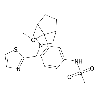 COC1(c2cccc(NS(C)(=O)=O)c2)C2CCC1CN(Cc1nccs1)C2